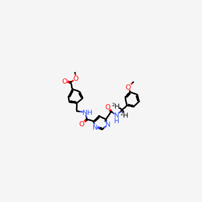 [2H]C([2H])(NC(=O)c1cc(C(=O)NCc2ccc(C(=O)OC)cc2)ncn1)c1cccc(OC)c1